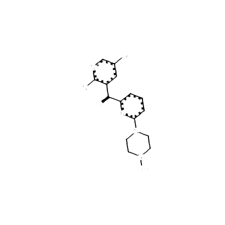 CC(C)N1CCN(c2cccc(C(=O)c3cc(Br)cnc3N)n2)CC1